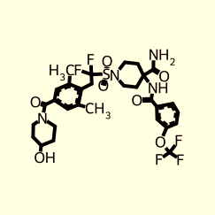 Cc1cc(C(=O)N2CCC(O)CC2)cc(C)c1CC(F)(F)S(=O)(=O)N1CCC(NC(=O)c2cccc(OC(F)(F)F)c2)(C(N)=O)CC1